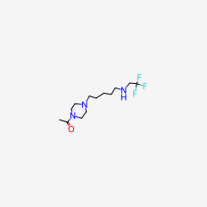 CC(=O)N1CCN(CCCCCNCC(F)(F)F)CC1